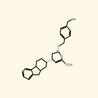 O=C(O)C1=C[C@H](C2CCC3c4ccccc4CC3C2)C[C@H](OCc2ccc(CO)cc2)O1